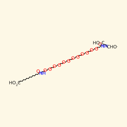 O=[C]CC[C@H](NC(=O)CCOCCOCCOCCOCCOCCOCCOCCOCCOCCOCCOCCOCCNC(=O)CCCCCCCCCCCCC(=O)O)C(=O)O